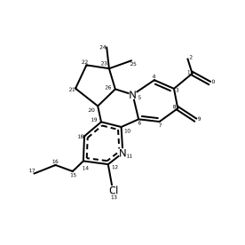 C=C(C)C1=CN2C(=CC1=C)c1nc(Cl)c(CCC)cc1C1CCC(C)(C)C12